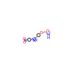 O=[N+]([O-])c1ccc(-n2cc(-c3ccc(OCCC4CNCCO4)cc3)nn2)cc1